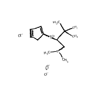 CP(C)C[CH]([Ti+3][C]1=CC=CC1)C(C)(C)C.[Cl-].[Cl-].[Cl-]